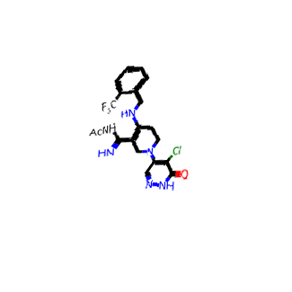 CC(=O)NC(=N)C1=C(NCc2ccccc2C(F)(F)F)CCN(c2cn[nH]c(=O)c2Cl)C1